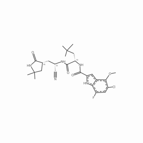 COc1c(Cl)cc(F)c2[nH]c(C(=O)N[C@@H](CC(C)(C)C)C(=O)N[C@H](C#N)C[C@@H]3CC(C)(C)NC3=O)cc12